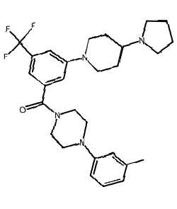 Cc1cccc(N2CCN(C(=O)c3cc(N4CCC(N5CCCC5)CC4)cc(C(F)(F)F)c3)CC2)c1